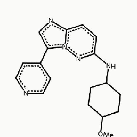 COC1CCC(Nc2ccc3ncc(-c4ccncc4)n3n2)CC1